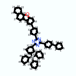 c1ccc(-c2ccc(-c3nc(-c4ccc(-c5ccc6oc7c8ccccc8ccc7c6c5)cc4)nc(-c4cccc([Si](c5ccccc5)(c5ccccc5)c5ccccc5)c4)n3)cc2)cc1